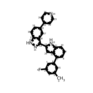 Cc1cc(F)cc(-c2cccc3[nH]c(-c4n[nH]c5ccc(-c6ccncc6)cc45)cc23)c1